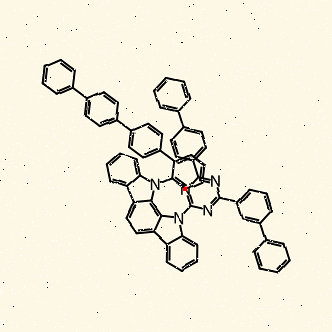 c1ccc(-c2ccc(-c3ccc(-c4ccccc4-n4c5ccccc5c5ccc6c7ccccc7n(-c7nc(-c8ccc(-c9ccccc9)cc8)nc(-c8cccc(-c9ccccc9)c8)n7)c6c54)cc3)cc2)cc1